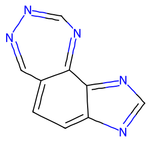 c1nncc2ccc3ncnc3c2n1